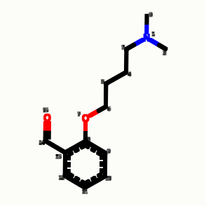 CN(C)CCCCOc1ccccc1C=O